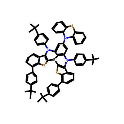 CC(C)(C)c1ccc(-c2cccc3c4c(sc23)B2c3sc5c(-c6ccc(C(C)(C)C)cc6)cccc5c3N(c3ccc(C(C)(C)C)cc3)c3cc(N5c6ccccc6Sc6ccccc65)cc(c32)N4c2ccc(C(C)(C)C)cc2)cc1